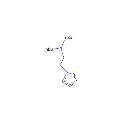 CCCCN(CCCC)CCn1ccnc1